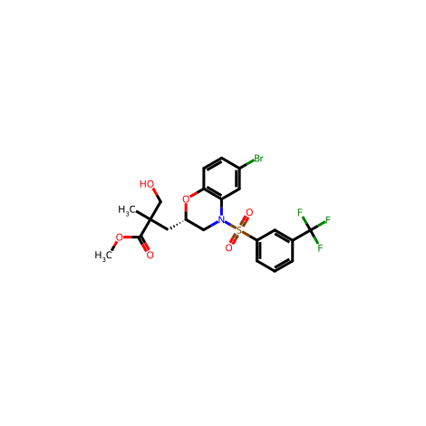 COC(=O)C(C)(CO)C[C@H]1CN(S(=O)(=O)c2cccc(C(F)(F)F)c2)c2cc(Br)ccc2O1